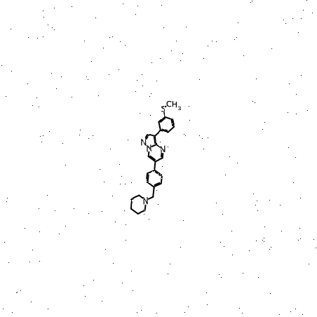 CSc1cccc(-c2cnn3cc(-c4ccc(CN5CCCCC5)cc4)cnc23)c1